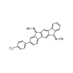 N#C/N=c1\c2ccccc2c2cc3/c(=N/C#N)c4cc(-c5ccc(C(F)(F)F)cc5)ccc4c3cc12